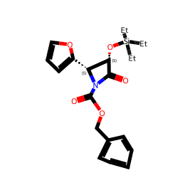 CC[Si](CC)(CC)O[C@@H]1C(=O)N(C(=O)OCc2ccccc2)[C@@H]1c1ccco1